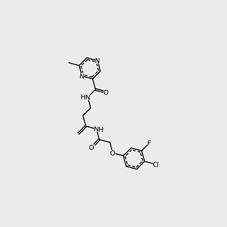 C=C(CCNC(=O)c1cncc(C)n1)NC(=O)COc1ccc(Cl)c(F)c1